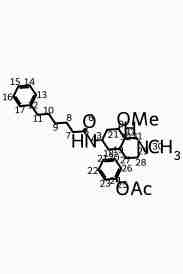 COC1C[C@H](NC(=O)CCCCCc2ccccc2)C[C@]2(c3cccc(OC(C)=O)c3)CCN(C)C[C@@H]12